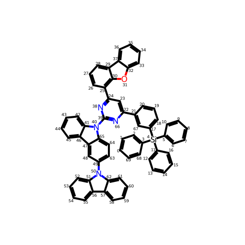 c1ccc([Si](c2ccccc2)(c2ccccc2)c2cccc(-c3cc(-c4cccc5c4oc4ccccc45)nc(-n4c5ccccc5c5cc(-n6c7ccccc7c7ccccc76)ccc54)n3)c2)cc1